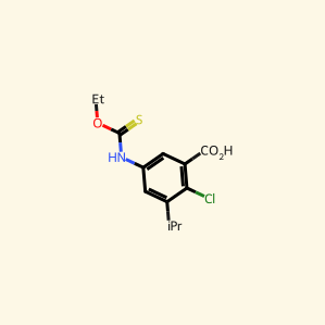 CCOC(=S)Nc1cc(C(=O)O)c(Cl)c(C(C)C)c1